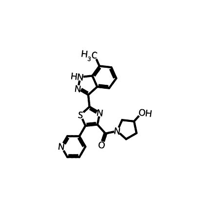 Cc1cccc2c(-c3nc(C(=O)N4CCC(O)C4)c(-c4cccnc4)s3)n[nH]c12